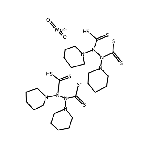 S=C([S-])N(N1CCCCC1)N(C(=S)S)N1CCCCC1.S=C([S-])N(N1CCCCC1)N(C(=S)S)N1CCCCC1.[O]=[Mo+2]=[O]